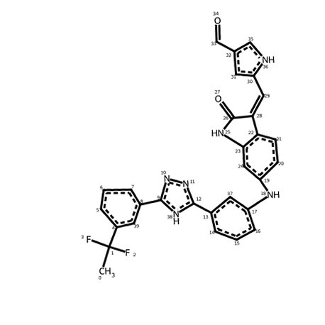 CC(F)(F)c1cccc(-c2nnc(-c3cccc(Nc4ccc5c(c4)NC(=O)/C5=C\c4cc(C=O)c[nH]4)c3)[nH]2)c1